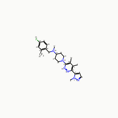 Cc1c(-c2ccnn2C)nnc(N2CCC(N(C)Cc3ccc(F)cc3C(F)(F)F)CC2)c1C